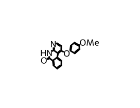 COc1ccc(Oc2ccnc3[nH]c(=O)c4ccccc4c23)cc1